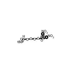 CC(C)(C)OC(=O)NCCOCCOCCOCCOCCC(=O)N(Cc1ccc([N+](=O)[O-])cc1)S(=O)(=O)c1ccc([N+](=O)[O-])cc1